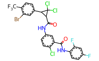 O=C(Nc1ccc(F)cc1F)c1cc(NC(=O)C2C(c3ccc(C(F)(F)F)c(Br)c3)C2(Cl)Cl)ccc1Cl